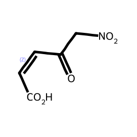 O=C(O)/C=C\C(=O)C[N+](=O)[O-]